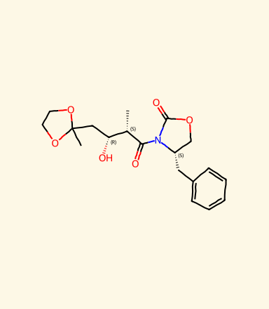 C[C@H](C(=O)N1C(=O)OC[C@@H]1Cc1ccccc1)[C@H](O)CC1(C)OCCO1